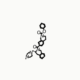 CN1CCN(C[C@@H]2Cc3ccccc3CN2C(=O)c2ccc3c(c2)CN(C(=O)Oc2ccccc2)CC3)CC1